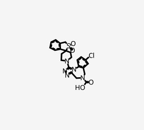 O=C(O)N1Cc2cc(Cl)ccc2-n2c(nnc2N2CCC3(CC2)c2ccccc2CS3(=O)=O)C1